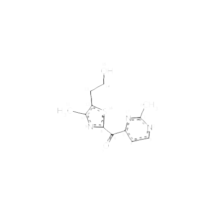 Cc1nccc(C(=O)c2nc(C)c(CCO)s2)n1